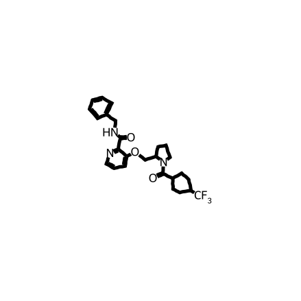 O=C(NCc1ccccc1)c1ncccc1OCC1CCCN1C(=O)C1CCC(C(F)(F)F)CC1